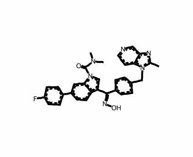 Cc1nc2cnccc2n1Cc1ccc(C(=NO)c2cn(C(=O)N(C)C)c3cc(-c4ccc(F)cc4)ccc23)cc1